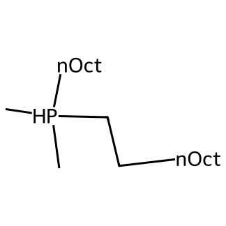 CCCCCCCCCC[PH](C)(C)CCCCCCCC